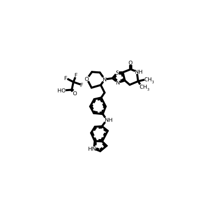 CC1(C)Cc2nc(N3CCOCC3Cc3cccc(Nc4ccc5[nH]ccc5c4)c3)sc2C(=O)N1.O=C(O)C(F)(F)F